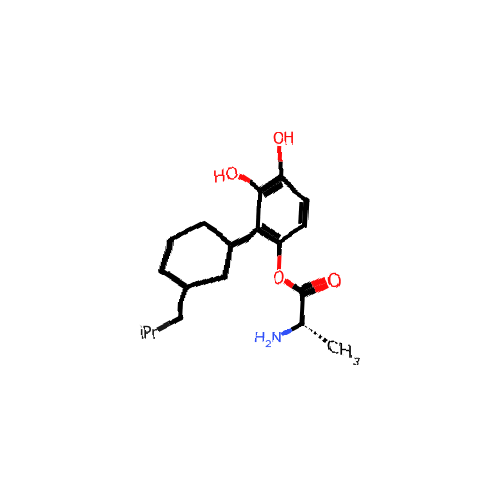 CC(C)CC1CCCC(c2c(OC(=O)[C@H](C)N)ccc(O)c2O)C1